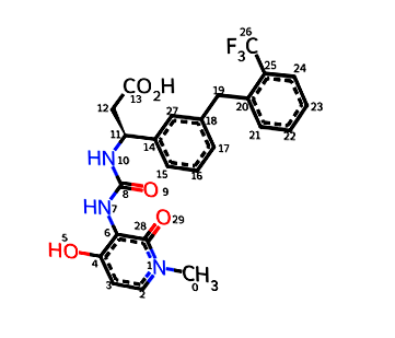 Cn1ccc(O)c(NC(=O)N[C@@H](CC(=O)O)c2cccc(Cc3ccccc3C(F)(F)F)c2)c1=O